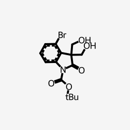 CC(C)(C)OC(=O)N1C(=O)C(CO)(CO)c2c(Br)cccc21